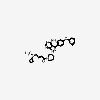 CN(CC=CC(=O)N1CCC[C@@H](n2nc(-c3ccc(Oc4ccccc4)cc3)c3c(N)ncnc32)C1)C1CCC1